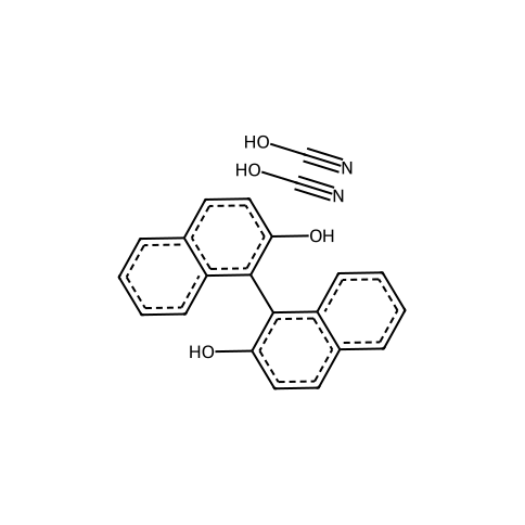 N#CO.N#CO.Oc1ccc2ccccc2c1-c1c(O)ccc2ccccc12